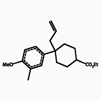 C=CCC1(c2ccc(OC)c(C)c2)CCC(C(=O)OCC)CC1